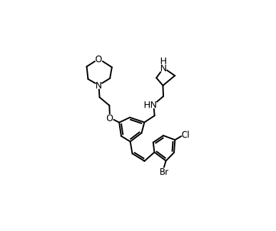 Clc1ccc(/C=C\c2cc(CNCC3CNC3)cc(OCCN3CCOCC3)c2)c(Br)c1